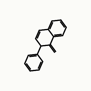 C=C1c2ccccc2C=CC1c1ccccc1